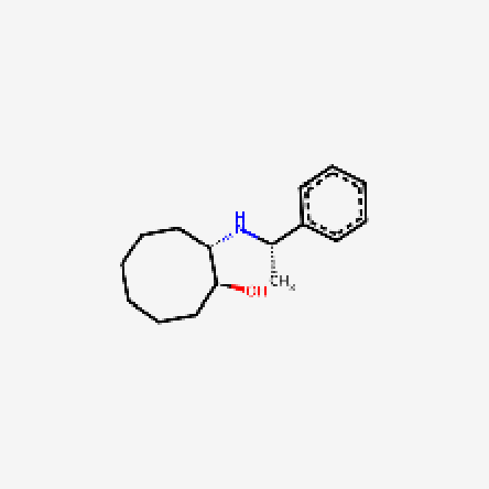 C[C@H](N[C@H]1CCCCCC[C@@H]1O)c1ccccc1